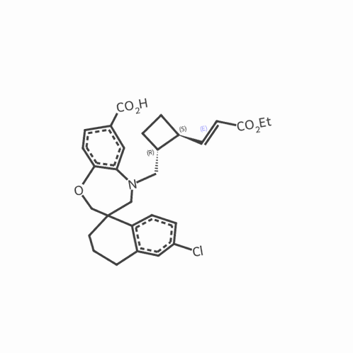 CCOC(=O)/C=C/[C@@H]1CC[C@H]1CN1CC2(CCCc3cc(Cl)ccc32)COc2ccc(C(=O)O)cc21